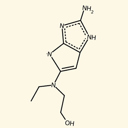 CCN(CCO)C1=Cc2[nH]c(N)nc2[N]1